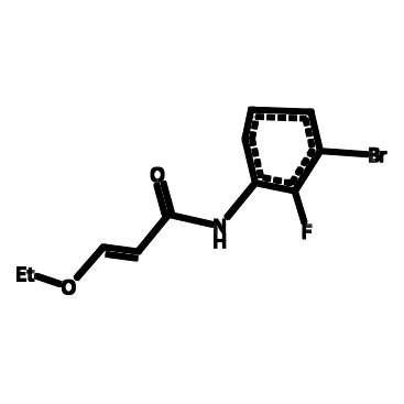 CCO/C=C/C(=O)Nc1cccc(Br)c1F